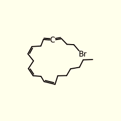 CCCCCC/C=C\C/C=C\C/C=C\CC=C=CCCBr